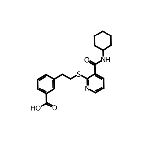 O=C(O)c1cccc(CCSc2ncccc2C(=O)NC2CCCCC2)c1